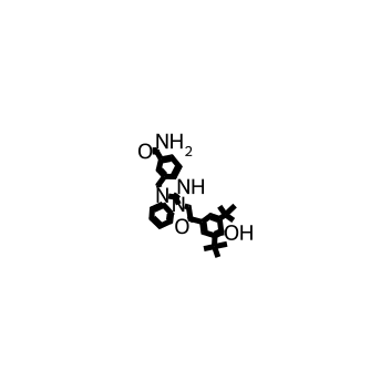 CC(C)(C)c1cc(C(=O)Cn2c(=N)n(Cc3cccc(C(N)=O)c3)c3ccccc32)cc(C(C)(C)C)c1O